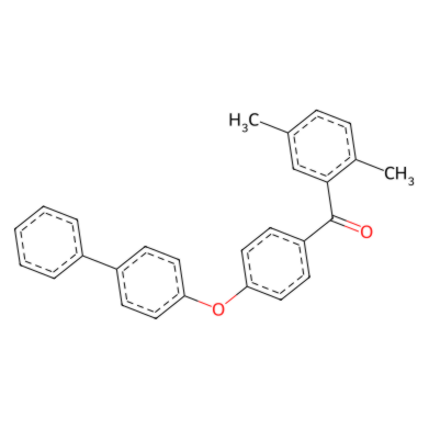 Cc1ccc(C)c(C(=O)c2ccc(Oc3ccc(-c4ccccc4)cc3)cc2)c1